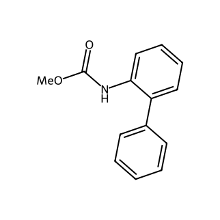 [CH2]OC(=O)Nc1ccccc1-c1ccccc1